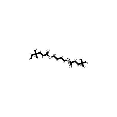 CCC(C)(C)CCC(=O)OCCCCOC(=O)CCC(C)(C)C